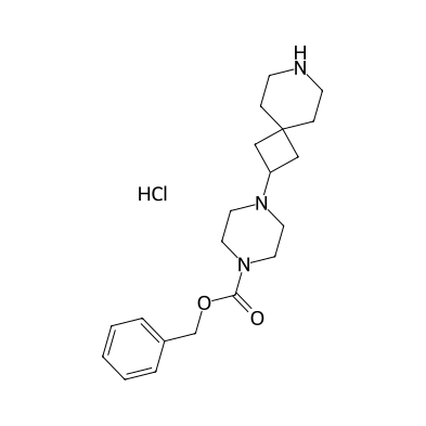 Cl.O=C(OCc1ccccc1)N1CCN(C2CC3(CCNCC3)C2)CC1